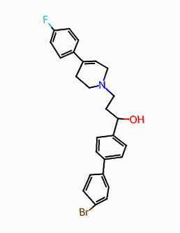 OC(CCN1CC=C(c2ccc(F)cc2)CC1)c1ccc(-c2ccc(Br)cc2)cc1